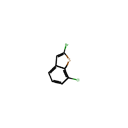 Clc1cccc2cc(Br)sc12